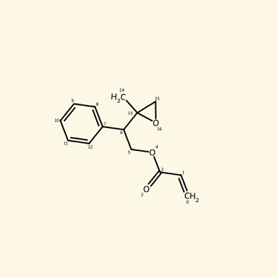 C=CC(=O)OCC(c1ccccc1)C1(C)CO1